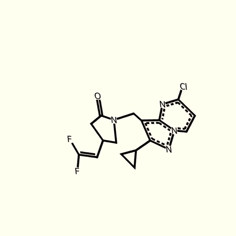 O=C1CC(C=C(F)F)CN1Cc1c(C2CC2)nn2ccc(Cl)nc12